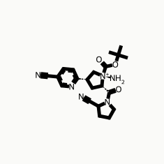 CC(C)(C)OC(=O)[N@+]1(N)C[C@@H](c2ccc(C#N)cn2)C[C@H]1C(=O)N1CCCC1C#N